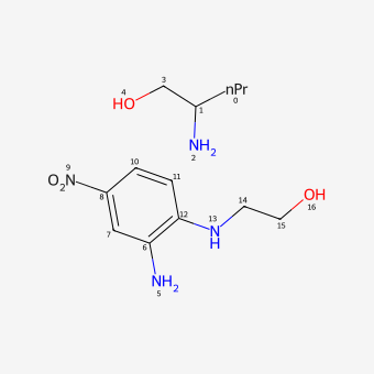 CCCC(N)CO.Nc1cc([N+](=O)[O-])ccc1NCCO